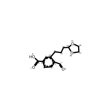 O=Cc1ccc(C(=O)O)cc1CCCC1OCCO1